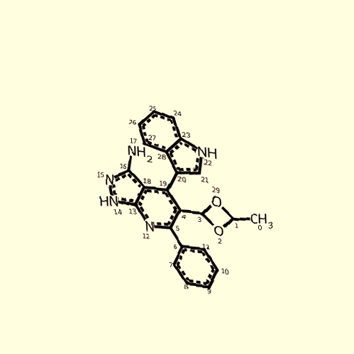 CC1OC(c2c(-c3ccccc3)nc3[nH]nc(N)c3c2-c2c[nH]c3ccccc23)O1